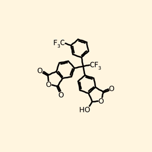 O=C1OC(=O)c2cc(C(c3cccc(C(F)(F)F)c3)(c3ccc4c(c3)C(=O)OC4O)C(F)(F)F)ccc21